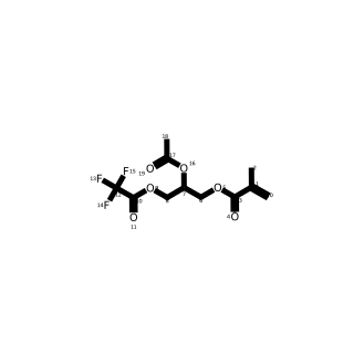 C=C(C)C(=O)OCC(COC(=O)C(F)(F)F)OC(C)=O